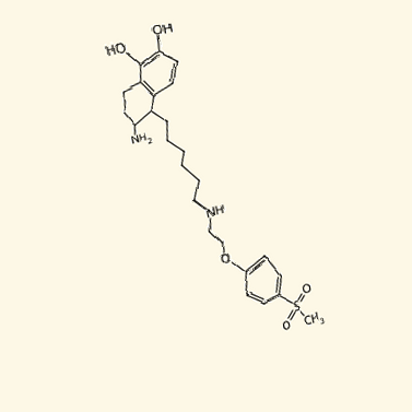 CS(=O)(=O)c1ccc(OCCNCCCCCCC2c3ccc(O)c(O)c3CCC2N)cc1